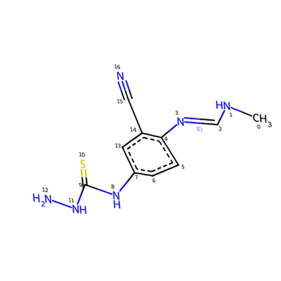 CN/C=N/c1ccc(NC(=S)NN)cc1C#N